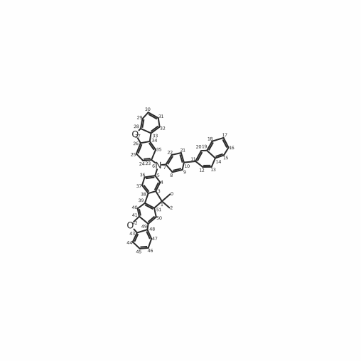 CC1(C)c2cc(N(c3ccc(-c4ccc5ccccc5c4)cc3)c3ccc4oc5ccccc5c4c3)ccc2-c2cc3oc4ccccc4c3cc21